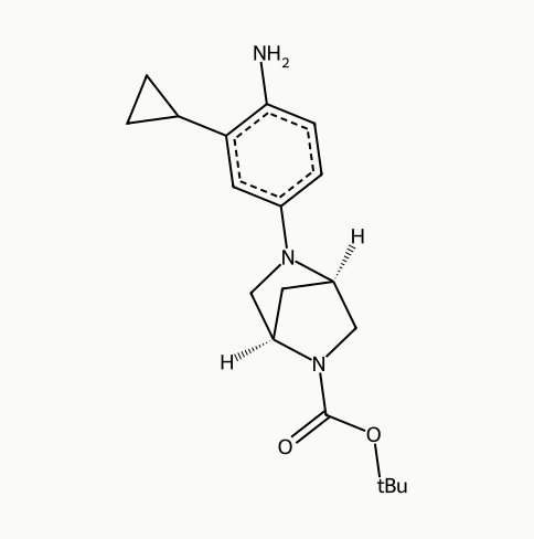 CC(C)(C)OC(=O)N1C[C@H]2C[C@@H]1CN2c1ccc(N)c(C2CC2)c1